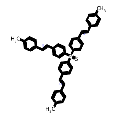 Cc1ccc(/C=C/c2ccc(P(=S)(c3ccc(/C=C/c4ccc(C)cc4)cc3)c3ccc(/C=C/c4ccc(C)cc4)cc3)cc2)cc1